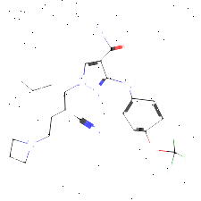 CCC[C@@H]([C@@H](C#N)CCN1CCC1)n1cc(C(N)=O)c(Nc2ccc(OC(F)(F)F)cc2)n1